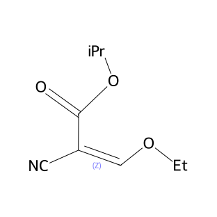 CCO/C=C(/C#N)C(=O)OC(C)C